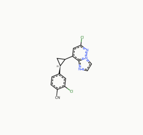 N#Cc1ccc([C@H]2CC2c2cc(Cl)nn3ccnc23)cc1Cl